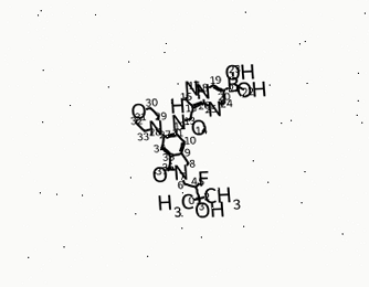 CC(C)(O)C(F)CN1Cc2cc(NC(=O)c3cnn4cc(B(O)O)cnc34)c(N3CCOCC3)cc2C1=O